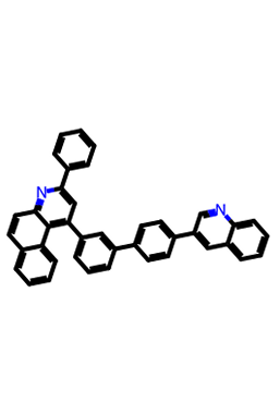 c1ccc(-c2cc(-c3cccc(-c4ccc(-c5cnc6ccccc6c5)cc4)c3)c3c(ccc4ccccc43)n2)cc1